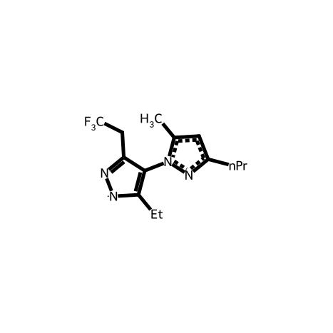 CCCc1cc(C)n(C2=C(CC)[N]N=C2CC(F)(F)F)n1